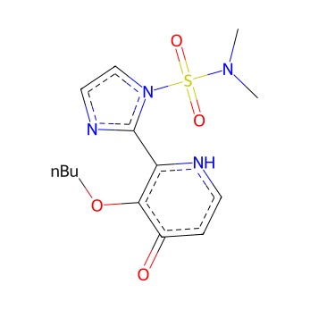 CCCCOc1c(-c2nccn2S(=O)(=O)N(C)C)[nH]ccc1=O